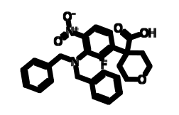 O=C(O)C1(c2ccc([N+](=O)[O-])c(N(Cc3ccccc3)Cc3ccccc3)c2F)CCOCC1